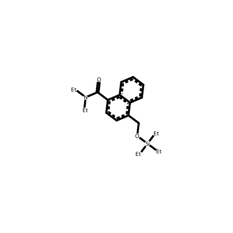 CCN(CC)C(=O)c1ccc(CO[Si](CC)(CC)CC)c2ccccc12